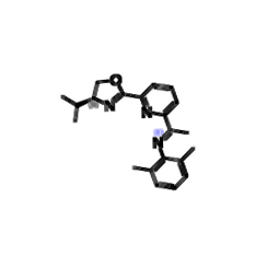 C/C(=N\c1c(C)cccc1C)c1cccc(C2=N[C@@H](C(C)C)CO2)n1